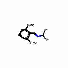 COc1cccc(OC)c1/C=N/C(C(C)C)C(C)C